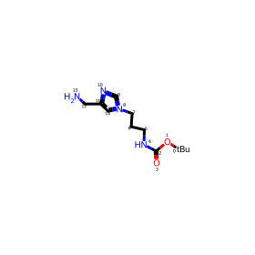 CC(C)(C)OC(=O)NCCCn1cnc(CN)c1